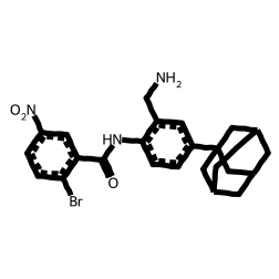 NCc1cc(C23CC4CC(CC(C4)C2)C3)ccc1NC(=O)c1cc([N+](=O)[O-])ccc1Br